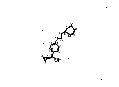 OC(=C1CC1)c1ccc(OCCC2CCCCC2)cn1